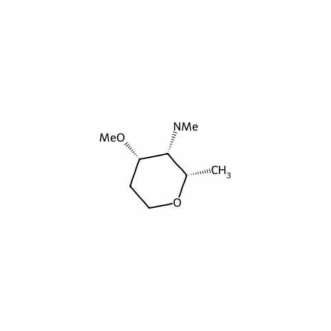 CN[C@@H]1[C@H](C)OCC[C@@H]1OC